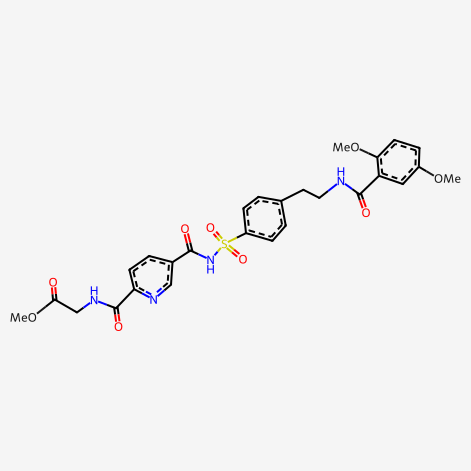 COC(=O)CNC(=O)c1ccc(C(=O)NS(=O)(=O)c2ccc(CCNC(=O)c3cc(OC)ccc3OC)cc2)cn1